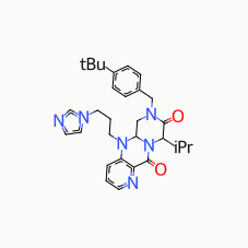 CC(C)C1C(=O)N(Cc2ccc(C(C)(C)C)cc2)CC2N(CCCn3ccnc3)c3cccnc3C(=O)N12